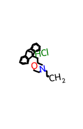 C=CCN1CCOC(CC23CC(c4ccccc42)c2ccccc23)C1.Cl